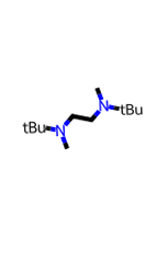 CN(CCN(C)C(C)(C)C)C(C)(C)C